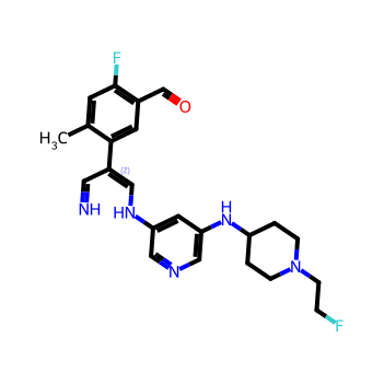 Cc1cc(F)c(C=O)cc1/C(C=N)=C/Nc1cncc(NC2CCN(CCF)CC2)c1